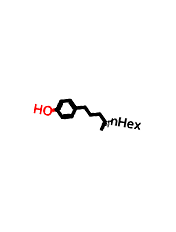 CCCCCC[C@H](C)CCCc1ccc(O)cc1